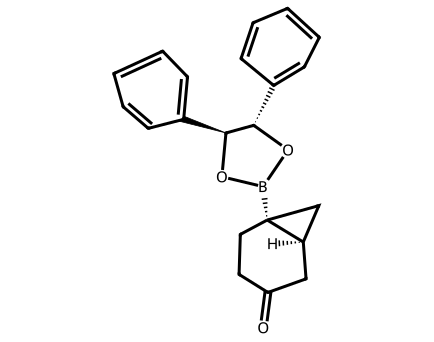 O=C1CC[C@@]2(B3O[C@@H](c4ccccc4)[C@H](c4ccccc4)O3)C[C@H]2C1